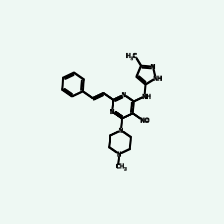 Cc1cc(Nc2nc(/C=C/c3ccccc3)nc(N3CCN(C)CC3)c2N=O)[nH]n1